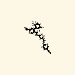 COc1ccc(F)cc1-c1cc(C#N)ncc1C(=O)Nc1nnc(COc2ccc(C#N)cn2)s1